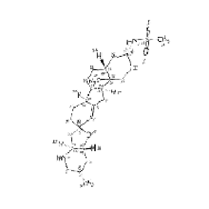 C[C@@H]1CN[C@H]2C[C@]3(C=C4C[C@H]5C(CC[C@@H]6C[C@H](NS(C)(=O)=O)CC[C@@]65C)[C@@H]4CC3)O[C@@H]2C1